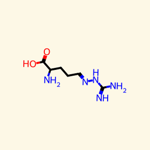 N=C(N)NN=CCCC(N)C(=O)O